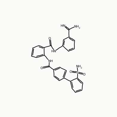 N=C(N)c1cccc(NC(=O)c2ccccc2NC(=O)c2ccc(-c3ccccc3S(N)(=O)=O)cc2)c1